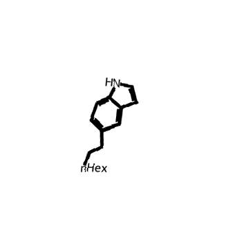 CCCCCCCCc1ccc2[nH]ccc2c1